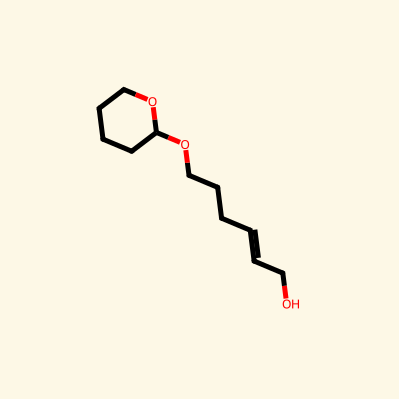 OCC=CCCCOC1CCCCO1